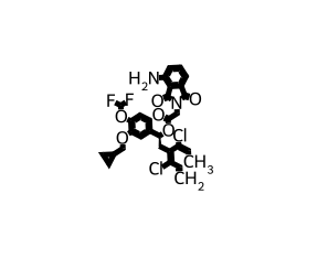 C=C/C(Cl)=C(C[C@H](OC(=O)CN1C(=O)c2cccc(N)c2C1=O)c1ccc(OC(F)F)c(OCC2CC2)c1)\C(Cl)=C/C